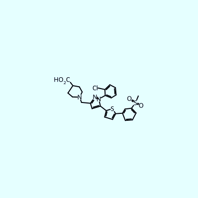 CS(=O)(=O)c1cccc(-c2ccc(-c3cc(CN4CCC(C(=O)O)CC4)nn3-c3ccccc3Cl)s2)c1